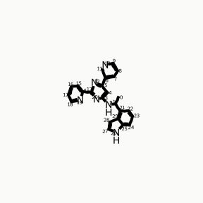 CC(Nc1cc(-c2cccnc2)nc(-c2ccccn2)n1)c1cccc2[nH]ccc12